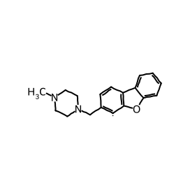 CN1CCN(Cc2[c]c3oc4ccccc4c3cc2)CC1